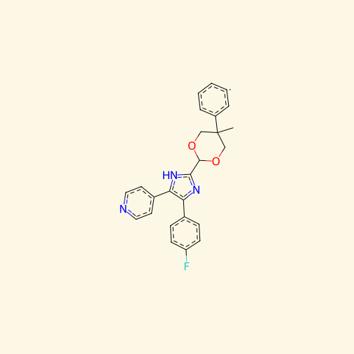 CC1(c2c[c]ccc2)COC(c2nc(-c3ccc(F)cc3)c(-c3ccncc3)[nH]2)OC1